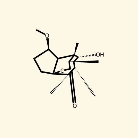 CO[C@@H]1CCC23CC[C@@H](C)[C@](C)(C12)[C@H](O)C[C@H](C)C(=O)[C@@H]3C